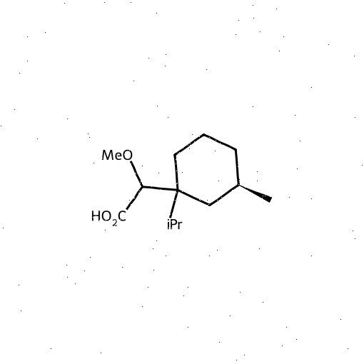 COC(C(=O)O)C1(C(C)C)CCC[C@@H](C)C1